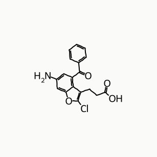 Nc1cc(C(=O)c2ccccc2)c2c(CCC(=O)O)c(Cl)oc2c1